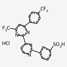 Cl.O=S(=O)(O)c1cccc(-c2cc(-c3nc(-c4ccc(C(F)(F)F)cc4)cc(C(F)(F)F)n3)ccn2)c1